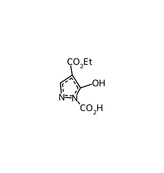 CCOC(=O)c1cnn(C(=O)O)c1O